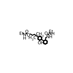 CCNC(=O)NCc1ccccc1-c1ccc(C(C)(C)CCCOC(=O)NCC)cc1O